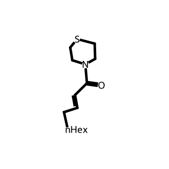 CCCCCCCC=CC(=O)N1CCSCC1